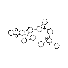 c1ccc(-c2cc(-c3cccc(-n4c5ccccc5c5cc(-c6ccc7c(c6)C6(c8ccccc8-c8ccccc86)c6cc8c(cc6-7)Oc6ccccc6O8)ccc54)c3)nc(-c3ccccc3)n2)cc1